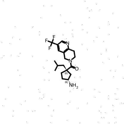 CC(C)C[C@]1(C(=O)N2CCc3ncc(C(F)(F)F)cc3C2)CC[C@@H](N)C1